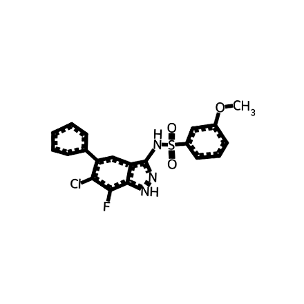 COc1cccc(S(=O)(=O)Nc2n[nH]c3c(F)c(Cl)c(-c4ccccc4)cc23)c1